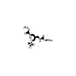 CC(C)(C)OC(=O)NCC(CNC(=O)OC(C)(C)C)COS(C)(=O)=O